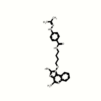 CCCCc1nc2c(N)nc3ccccc3c2n1OCCCCNC(=O)c1ccc(NN=C(C)C)cc1